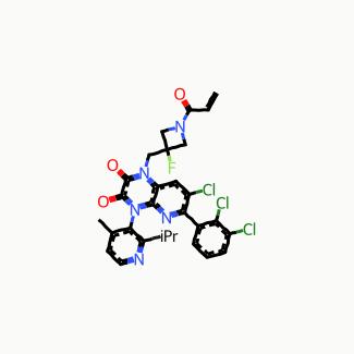 C=CC(=O)N1CC(F)(Cn2c(=O)c(=O)n(-c3c(C)ccnc3C(C)C)c3nc(-c4cccc(Cl)c4Cl)c(Cl)cc32)C1